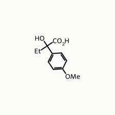 CCC(O)(C(=O)O)c1ccc(OC)cc1